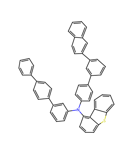 c1ccc(-c2ccc(-c3cccc(N(c4ccc(-c5cccc(-c6ccc7ccccc7c6)c5)cc4)c4cccc5sc6ccccc6c45)c3)cc2)cc1